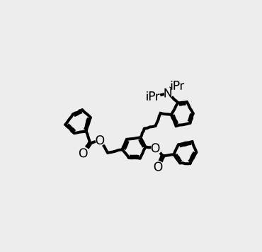 CC(C)N(c1ccccc1CCCc1cc(COC(=O)c2ccccc2)ccc1OC(=O)c1ccccc1)C(C)C